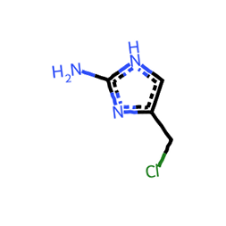 Nc1nc(CCl)c[nH]1